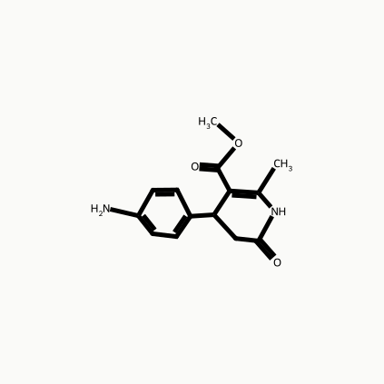 COC(=O)C1=C(C)NC(=O)CC1c1ccc(N)cc1